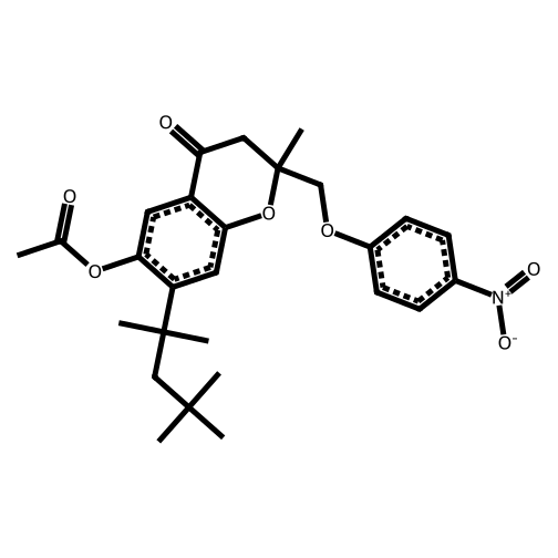 CC(=O)Oc1cc2c(cc1C(C)(C)CC(C)(C)C)OC(C)(COc1ccc([N+](=O)[O-])cc1)CC2=O